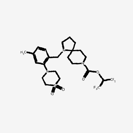 Cc1ccc(CN2CCCC23CCN(C(=O)OC(C(F)(F)F)C(F)(F)F)CC3)c(N2CCS(=O)(=O)CC2)c1